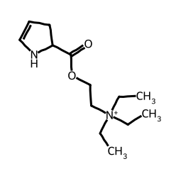 CC[N+](CC)(CC)CCOC(=O)C1CC=CN1